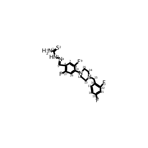 NC(=S)N/N=C/c1cc(F)c(N2CCN(Cc3ccc(F)cc3F)CC2)cc1F